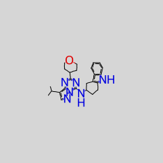 CC(C)c1cnn2c(NC3CCc4[nH]c5ccccc5c4C3)nc(C3CCOCC3)nc12